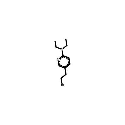 CCN(CC)c1ccc(CCBr)cn1